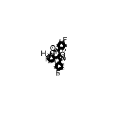 CC(=O)N(c1ccc(F)cc1)c1onc(-c2ccc(F)cc2)c1-c1ccncn1